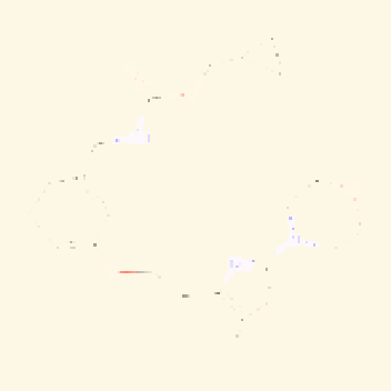 Cc1sc(N2CCOCC2)nc1CCOc1[c]c(CNC(=O)OCC2CC2)ccc1